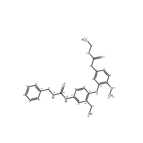 CCOC(=O)Cc1ccc(OC)c(Oc2ccc(NC(=O)NCc3ccccc3)cc2CS)c1